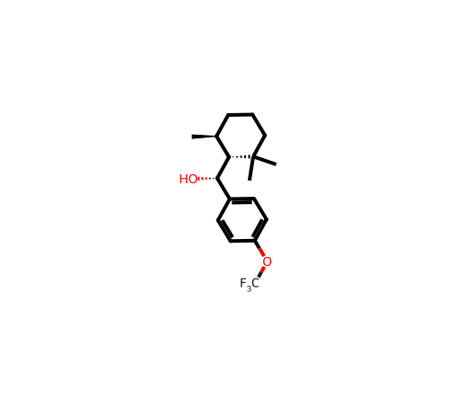 C[C@H]1CCCC(C)(C)[C@@H]1[C@@H](O)c1ccc(OC(F)(F)F)cc1